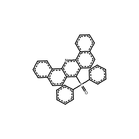 O=P(c1ccccc1)(c1ccccc1)c1c2ccc3ccccc3c2nc2c1ccc1ccccc12